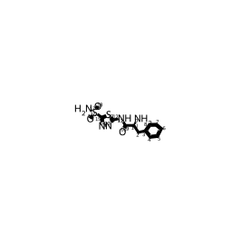 N[C@@H](Cc1ccccc1)C(=O)Nc1nnc(S(N)(=O)=O)s1